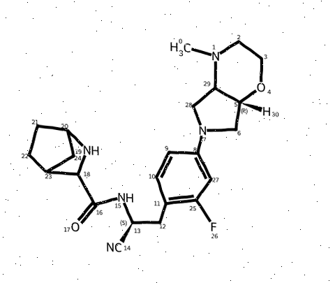 CN1CCO[C@@H]2CN(c3ccc(C[C@@H](C#N)NC(=O)C4NC5CCC4C5)c(F)c3)CC21